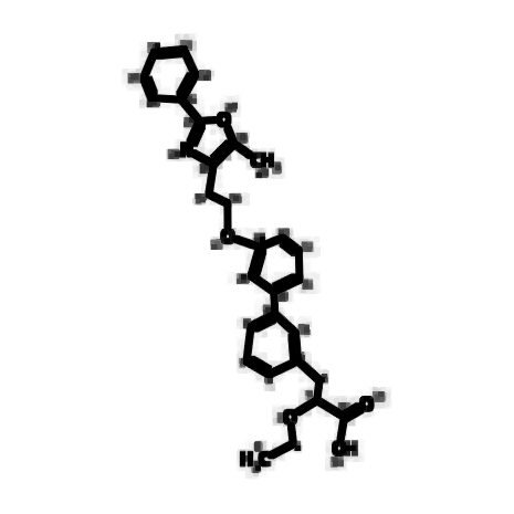 CCOC(Cc1cccc(-c2cccc(OCCc3nc(-c4ccccc4)oc3C)c2)c1)C(=O)O